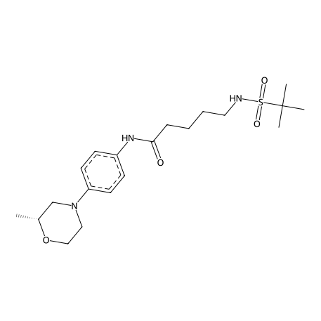 C[C@@H]1CN(c2ccc(NC(=O)CCCCNS(=O)(=O)C(C)(C)C)cc2)CCO1